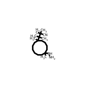 CC1(BN)CCCCCCC(C)(C(C)(C)C(C)(C)C#N)CCCC1